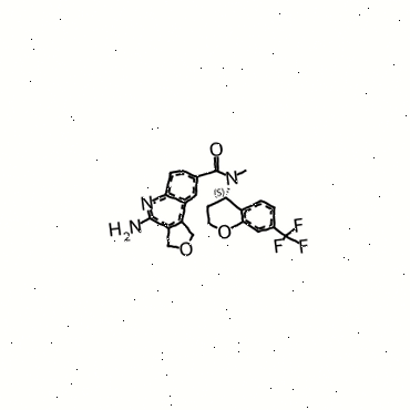 CN(C(=O)c1ccc2nc(N)c3c(c2c1)COC3)[C@H]1CCOc2cc(C(F)(F)F)ccc21